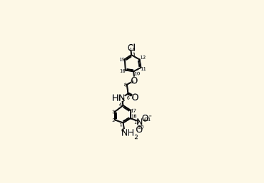 Nc1ccc(NC(=O)COc2ccc(Cl)cc2)cc1[N+](=O)[O-]